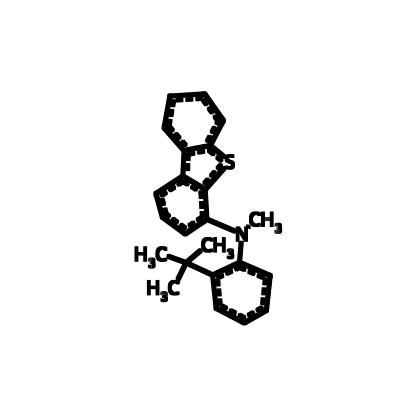 CN(c1ccccc1C(C)(C)C)c1cccc2c1sc1ccccc12